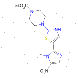 CCOC(=O)N1CCN(N2NC=C(c3ncc([N+](=O)[O-])n3C)S2)CC1